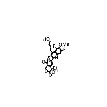 CC[C@@]1(O)C(=O)OCc2c1cc1n(c2=O)Cc2c-1nc1cc(F)c(OC)c(F)c1c2CCCCO